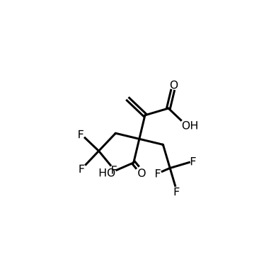 C=C(C(=O)O)C(CC(F)(F)F)(CC(F)(F)F)C(=O)O